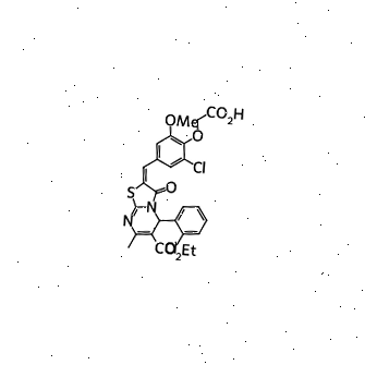 CCOC(=O)C1=C(C)N=c2sc(=Cc3cc(Cl)c(OCC(=O)O)c(OC)c3)c(=O)n2C1c1ccccc1Cl